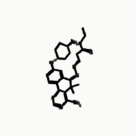 CCOC(=O)CCO/N=C1\c2cc(O[C@H]3CC[C@H](N)CC3)ccc2-c2ncnc(N)c2C1(C)C